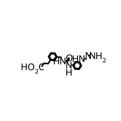 NN=CNc1cccc(NC(=O)NCc2cccc(CCC(=O)O)c2)c1